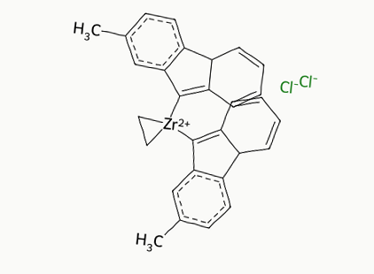 Cc1ccc2c(c1)[C]([Zr+2]1([C]3=C4C=CC=CC4c4ccc(C)cc43)[CH2][CH2]1)=C1C=CC=CC12.[Cl-].[Cl-]